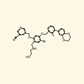 Cc1c(COc2cc(OCc3cncc(C#N)c3)c(CNCCO)cc2Br)cccc1-c1ccc2c(c1)OCCO2